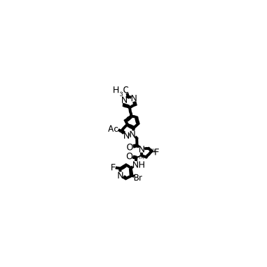 CC(=O)c1nn(CC(=O)N2C[C@H](F)C[C@H]2C(=O)Nc2cc(F)ncc2Br)c2ccc(-c3cnc(C)nc3)cc12